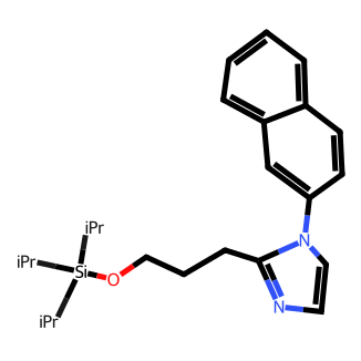 CC(C)[Si](OCCCc1nccn1-c1ccc2ccccc2c1)(C(C)C)C(C)C